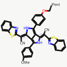 CCCC(C)COc1ccc(-c2[nH]/c(=C(/C#N)c3nc4ccccc4s3)c3c(-c4ccc(OC)cc4)[nH]/c(=C(/C#N)c4nc5ccccc5s4)c23)cc1